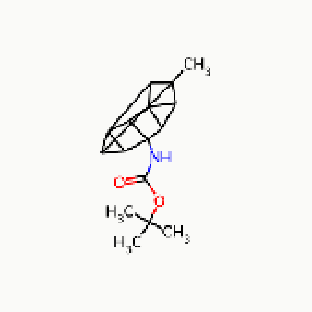 CC(C)(C)OC(=O)NC12C3C4C5(C)C6C1C61C5C43C21